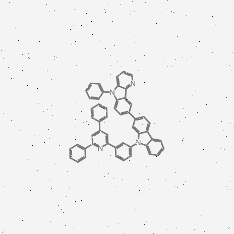 c1ccc(-c2cc(-c3ccccc3)nc(-c3cccc(-n4c5ccccc5c5ccc(-c6ccc7c(c6)c6ncccc6n7-c6ccccc6)cc54)c3)c2)cc1